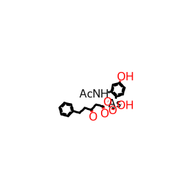 CC(=O)Nc1cc(O)ccc1[As](=O)(O)OC(=O)CC(=O)CCc1ccccc1